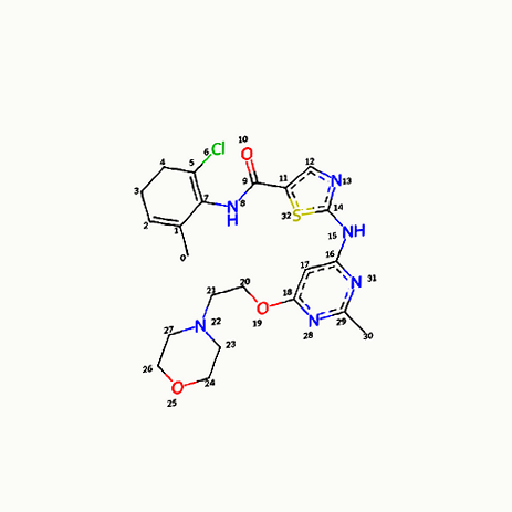 CC1=CCCC(Cl)=C1NC(=O)c1cnc(Nc2cc(OCCN3CCOCC3)nc(C)n2)s1